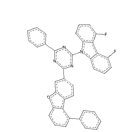 Fc1cccc2c1c1c(F)cccc1n2-c1nc(-c2ccccc2)nc(-c2ccc3c(c2)oc2cccc(-c4ccccc4)c23)n1